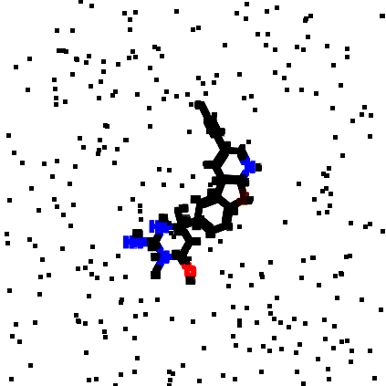 CC#Cc1cnc2sc3ccc([C@]4(C)CC(=O)N(C)C(=N)N4)cc3c2c1